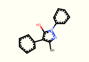 CCCc1nn(-c2ccccc2)c(O)c1-c1ccccc1